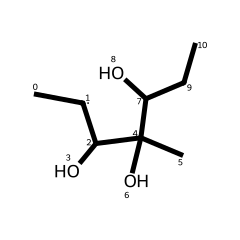 C[CH]C(O)C(C)(O)C(O)CC